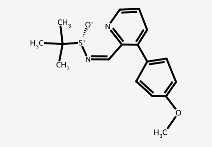 COc1ccc(-c2cccnc2/C=N\[S@@+]([O-])C(C)(C)C)cc1